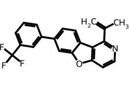 C=C(C)c1nccc2oc3cc(-c4cccc(C(F)(F)F)c4)ccc3c12